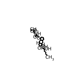 CCCCC[C@H](O)CB[C@@H]1[C@H]2Cc3cccc(OCC(=O)NCC(=O)OC)c3C[C@H]2C[C@H]1O